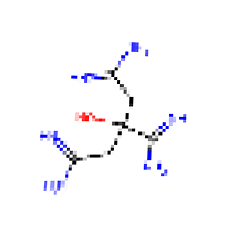 N=C(N)CC(O)(CC(=N)N)C(=N)N